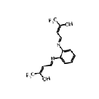 OC(=CC=Nc1ccccc1N=CC=C(O)C(F)(F)F)C(F)(F)F